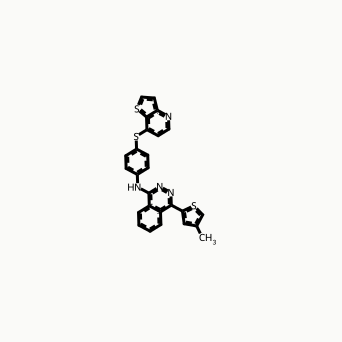 Cc1csc(-c2nnc(Nc3ccc(Sc4ccnc5ccsc45)cc3)c3ccccc23)c1